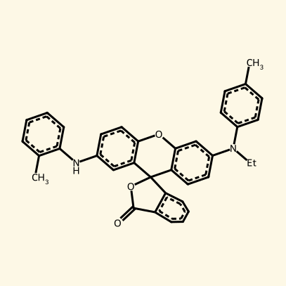 CCN(c1ccc(C)cc1)c1ccc2c(c1)Oc1ccc(Nc3ccccc3C)cc1C21OC(=O)c2ccccc21